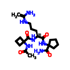 C=C(N)NCCC[C@H](NC(=O)C1(NC(C)=O)CCC1)C(=O)NC1(C(N)=O)CCCC1